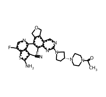 CC(=O)N1CCN([C@@H]2CCN(c3ncc4c5c(c(-c6ncc(F)c7sc(N)c(C#N)c67)c(F)c4n3)COC5)C2)CC1